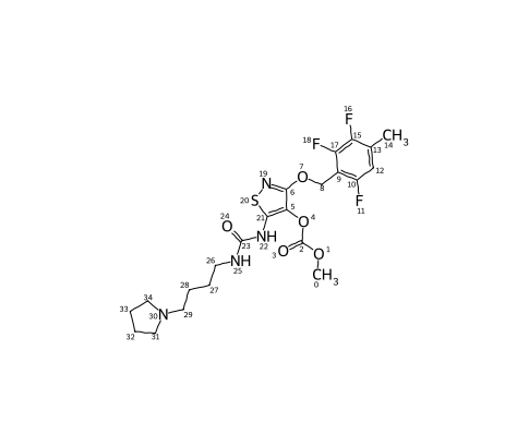 COC(=O)Oc1c(OCc2c(F)cc(C)c(F)c2F)nsc1NC(=O)NCCCCN1CCCC1